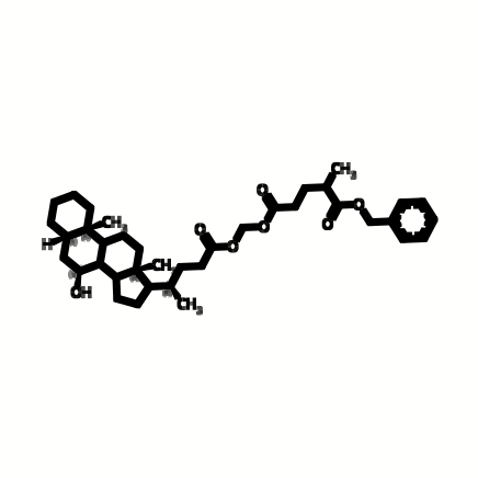 CC(CCC(=O)OCOC(=O)CC[C@@H](C)C1CCC2C3C(CC[C@@]21C)[C@@]1(C)CCCC[C@H]1C[C@@H]3O)C(=O)OCc1ccccc1